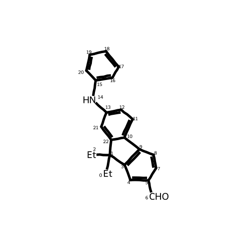 CCC1(CC)c2cc(C=O)ccc2-c2ccc(Nc3ccccc3)cc21